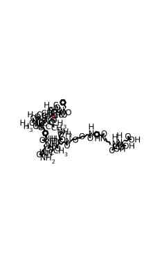 CC[C@H](C)[C@@H]([C@@H](CC(=O)N1CCC[C@H]1[C@H](OC)[C@@H](C)C(=O)N[C@@H](Cc1ccccc1)C(=O)O)OC)N(C)C(=O)[C@@H](NC(=O)[C@H](C(C)C)N(C)C(=O)OCc1ccc(NC(=O)[C@H](CCCNC(N)=O)NC(=O)[C@@H](NC(=O)C(CCC(=O)NCCOCCOCCC(=O)Nc2ccc(C(=O)NCCCC[C@H](NC(=O)N[C@@H](CCC(=O)O)C(=O)O)C(=O)O)cc2)NC(=O)CON)C(C)C)cc1)C(C)C